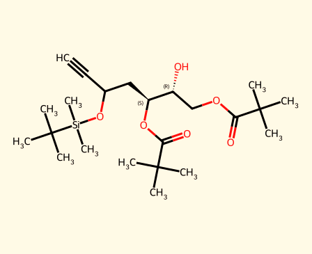 C#CC(C[C@H](OC(=O)C(C)(C)C)[C@H](O)COC(=O)C(C)(C)C)O[Si](C)(C)C(C)(C)C